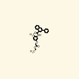 CCOC(=O)COc1ccc(C)c(NC(=O)c2cc(-c3ccccc3)cc3ccccc23)c1